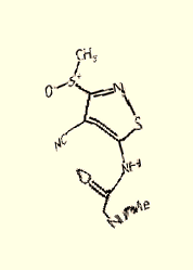 CNC(=O)Nc1snc([S+](C)[O-])c1C#N